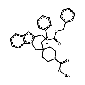 CC(C)(C)OC(=O)N1CCC(CCc2ccccc2)(Cn2c(CNC(=O)OCc3ccccc3)nc3ccccc32)CC1